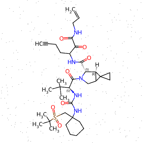 C#CCCC(NC(=O)[C@@H]1[C@@H]2C(CN1C(=O)[C@@H](NC(=O)NC1(CS(=O)(=O)C(C)(C)C)CCCCC1)C(C)(C)C)C21CC1)C(=O)C(=O)NCC=C